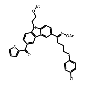 CCOCCn1c2ccc(C(=O)c3cccs3)cc2c2cc(/C(CCCSc3ccc(Cl)cc3)=N/OC(C)=O)ccc21